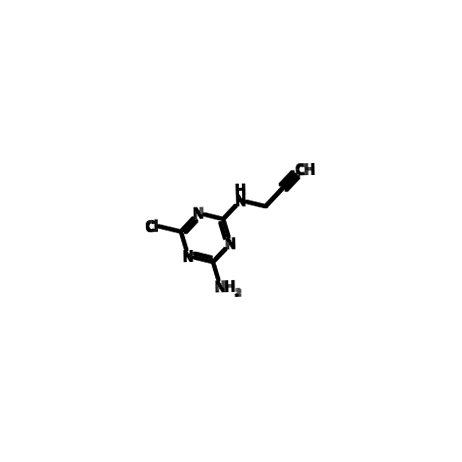 C#CCNc1nc(N)nc(Cl)n1